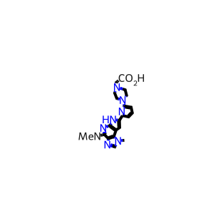 CNc1nc2[nH]c(-c3cccc(N4CCN(CC(=O)O)CC4)n3)cc2c2c1ncn2C